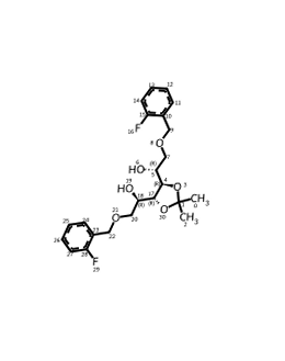 CC1(C)O[C@H]([C@H](O)COCc2ccccc2F)[C@@H]([C@H](O)COCc2ccccc2F)O1